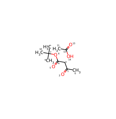 CC(=O)CC(=O)OC(C)(C)C.CC(=O)O